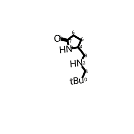 CC(C)(C)CNCC1CCC(=O)N1